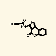 C#CC(=O)Nc1scc2c1c(=O)oc1ccccc12